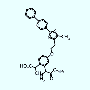 Cc1sc(-c2ccc(-c3ccccc3)nc2)nc1CCOc1ccc(C(C)C(=O)O)c(C(N)C(=O)OC(C)C)c1